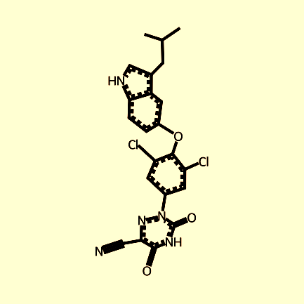 CC(C)Cc1c[nH]c2ccc(Oc3c(Cl)cc(-n4nc(C#N)c(=O)[nH]c4=O)cc3Cl)cc12